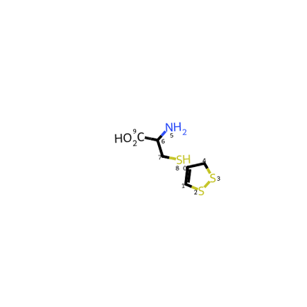 C1=CSSC1.NC(CS)C(=O)O